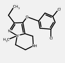 CCC1=N[N+]2(C)CCNCC2=C1Oc1cc(Cl)cc(Cl)c1